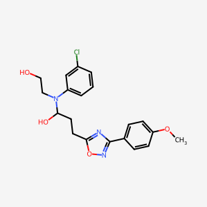 COc1ccc(-c2noc(CCC(O)N(CCO)c3cccc(Cl)c3)n2)cc1